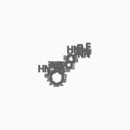 CC1NCNC(C(=O)N[C@@H]2CCc3cc(C4NOC(C(F)F)N4)ccc32)C12CCCCCCCCC2